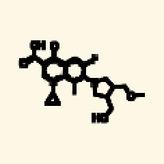 COCC1CN(c2c(F)cc3c(=O)c(C(=O)O)cn(C4CC4)c3c2C)CC1CO